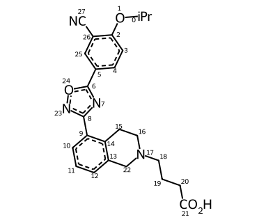 CC(C)Oc1ccc(-c2nc(-c3cccc4c3CCN(CCCC(=O)O)C4)no2)cc1C#N